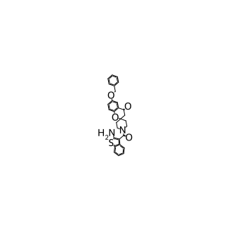 Nc1sc2ccccc2c1C(=O)N1CCC2(CC1)CC(=O)c1cc(OCc3ccccc3)ccc1O2